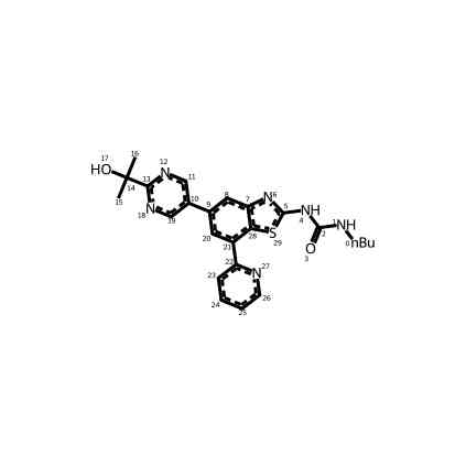 CCCCNC(=O)Nc1nc2cc(-c3cnc(C(C)(C)O)nc3)cc(-c3ccccn3)c2s1